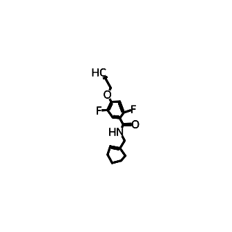 C#CCOc1cc(F)c(C(=O)NCC2=CCCCC2)cc1F